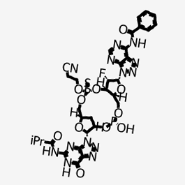 CC(C)C(=O)Nc1nc2c(nnn2[C@@H]2O[C@@H]3COP(=S)(OCCC#N)O[C@H]4[C@H](F)[C@H](n5nnc6c(NC(=O)c7ccccc7)ncnc65)O[C@@H]4COP(O)O[C@H]2C3)c(=O)[nH]1